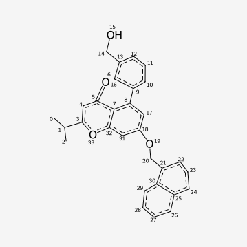 CC(C)c1cc(=O)c2c(-c3cccc(CO)c3)cc(OCc3cccc4ccccc34)cc2o1